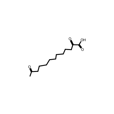 CC(=O)CCCCCCCCCC(=O)C(=O)O